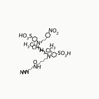 CC1(C)C(/C=C/C=C/C=C2/N(CCCCCC(=O)NCCCN=[N+]=[N-])c3ccc(S(=O)(=O)O)cc3C2(C)C)=[N+](CCCc2ccc([N+](=O)[O-])cc2)c2ccc(S(=O)(=O)O)cc21